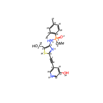 COP(=O)(Nc1nc(C#Cc2cncc(O)c2)sc1C(=O)O)c1ccc(C)cc1C